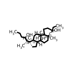 CCC[C@H](O)[C@@H](C)[C@H]1CC[C@H]2[C@@H]3CC[C@]4(C)C[C@](O)(CC)CC[C@]4(C)[C@H]3CC[C@]12C